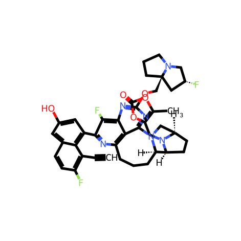 C#Cc1c(F)ccc2cc(O)cc(-c3nc4c5c(nc(OC[C@@]67CCCN6C[C@H](F)C7)nc5c3F)N3C[C@H]5CC[C@@H]([C@H]3CCC4)N5Cc3oc(=O)oc3C)c12